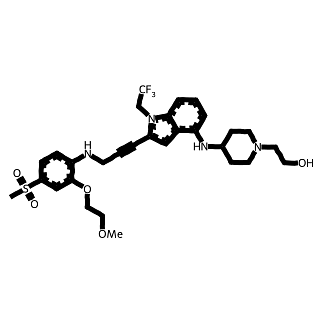 COCCOc1cc(S(C)(=O)=O)ccc1NCC#Cc1cc2c(NC3CCN(CCO)CC3)cccc2n1CC(F)(F)F